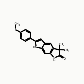 CSc1ccc(-c2cc3cc4c(cc3[nH]2)NC(=O)C4(C)C)cc1